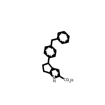 O=C(O)c1cc2c([nH]1)CCC2c1ccc(Cc2ccccc2)cc1